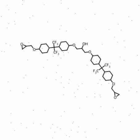 OC(COC1CCC(C(C2CCC(OCC3CO3)CC2)(C(F)(F)F)C(F)(F)F)CC1)COC1CCC(C(C2CCC(OCC3CO3)CC2)(C(F)(F)F)C(F)(F)F)CC1